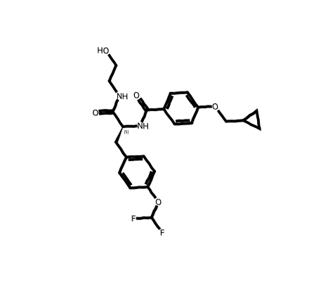 O=C(N[C@@H](Cc1ccc(OC(F)F)cc1)C(=O)NCCO)c1ccc(OCC2CC2)cc1